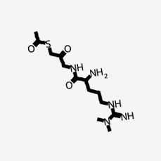 CC(=O)SCC(=O)CNC(=O)C(N)CCCNC(=N)N(C)C